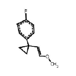 COC=CC1(c2ccc(F)cc2)CC1